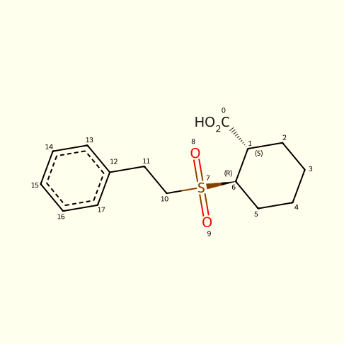 O=C(O)[C@@H]1CCCC[C@H]1S(=O)(=O)CCc1ccccc1